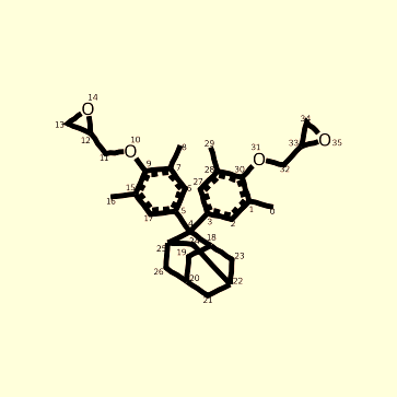 Cc1cc(C2(c3cc(C)c(OCC4CO4)c(C)c3)C3CC4CC(C3)CC2C4)cc(C)c1OCC1CO1